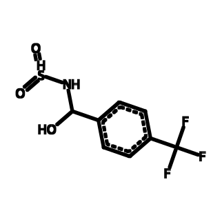 O=[SH](=O)NC(O)c1ccc(C(F)(F)F)cc1